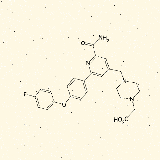 NC(=O)c1cc(CN2CCN(CC(=O)O)CC2)cc(-c2ccc(Oc3ccc(F)cc3)cc2)n1